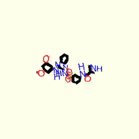 COC1=CC(Nc2nc3c(nc2NS(=O)(=O)c2cccc(NC(=O)C4CNC4)c2)=CCCC=3)=CC(OC)C1